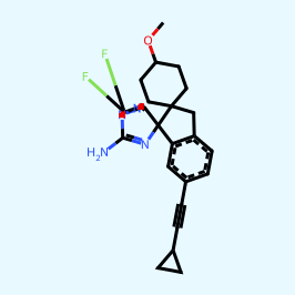 COC1CCC2(CC1)Cc1ccc(C#CC3CC3)cc1C21N=C(N)N2CC(F)(F)CN=C21